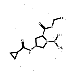 CCOC(=O)[C@@H]1C[C@H](NC(=O)C2CC2)CN1B(C)O